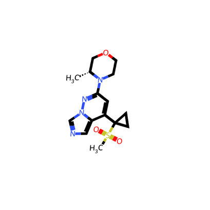 C[C@@H]1COCCN1c1cc(C2(S(C)(=O)=O)CC2)c2cncn2n1